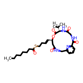 CCCCCCCC(=O)SCC/C=C/[C@@H]1CC(=O)NCc2cccc(n2)C(=O)NCC(=O)N[C@@H](C(C)C)C(=O)O1